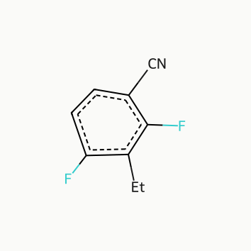 [CH2]Cc1c(F)ccc(C#N)c1F